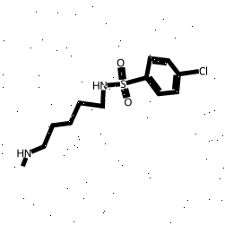 CNCCCCCNS(=O)(=O)c1ccc(Cl)cc1